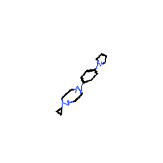 C1=C(N2CCCC2)CCC(N2CCN(C3CC3)CC2)C1